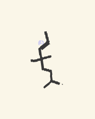 [CH2]C(C)CCC(C)(C)/C=C/C